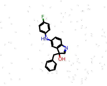 OC1(Cc2ccccc2)C=Nc2ccc(Nc3ccc(F)cc3)cc21